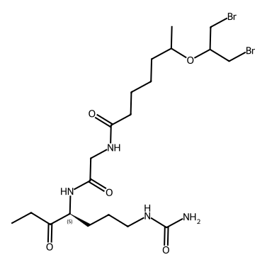 CCC(=O)[C@H](CCCNC(N)=O)NC(=O)CNC(=O)CCCCC(C)OC(CBr)CBr